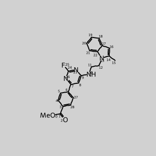 COC(=O)c1ccc(-c2cc(NCCn3c(C)cc4ccccc43)nc(F)n2)cc1